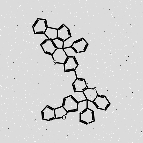 c1ccc(C2(c3ccc4c(c3)oc3ccccc34)c3ccccc3Sc3cc(-c4ccc5c(c4)Sc4ccccc4C5(c4ccccc4)c4cccc5c4sc4ccccc45)ccc32)cc1